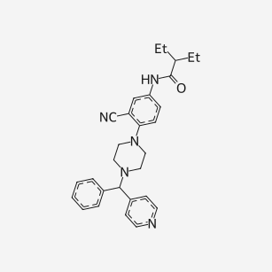 CCC(CC)C(=O)Nc1ccc(N2CCN(C(c3ccccc3)c3ccncc3)CC2)c(C#N)c1